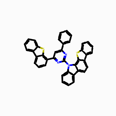 c1ccc(-c2cc(-c3cccc4c3sc3ccccc34)nc(-n3c4ccccc4c4ccc5c6ccccc6sc5c43)n2)cc1